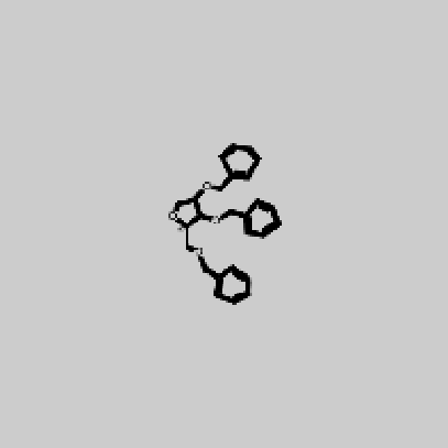 c1ccc(COC[C@H]2OCC(OCc3ccccc3)C2OCc2ccccc2)cc1